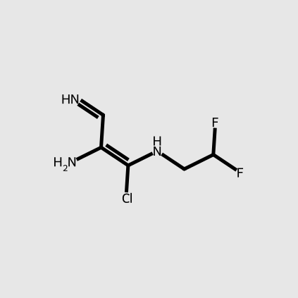 N=C/C(N)=C(/Cl)NCC(F)F